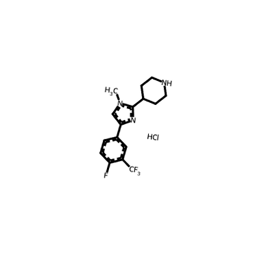 Cl.Cn1cc(-c2ccc(F)c(C(F)(F)F)c2)nc1C1CCNCC1